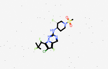 CC(C)(F)C(F)c1c(Cl)c(F)c2cnc(N[C@@H]3CCN(S(C)(=O)=O)C[C@H]3F)nn12